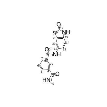 CNC(=O)c1cccc(C(=O)Nc2ccc3[nH]c(=O)sc3c2)c1